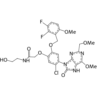 COCc1nc(OC)c2[nH]c(=O)n(-c3cc(OCc4c(OC)ccc(F)c4F)c(OCC(=O)NCCO)cc3Cl)c2n1